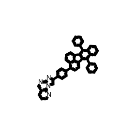 c1ccc(-c2c3c(c(-c4ccccc4)c4ccccc24)-c2ccc(-c4ccc(-c5cn6c(ncc7cccnc76)n5)cc4)c4cccc-3c24)cc1